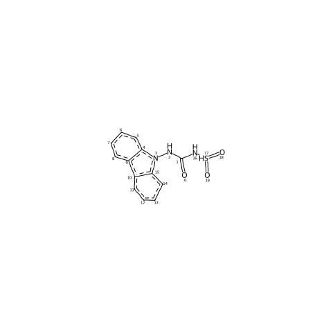 O=C(Nn1c2ccccc2c2ccccc21)N[SH](=O)=O